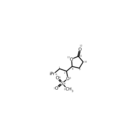 CC(C)CC(OS(C)(=O)=O)C1CCC(=O)O1